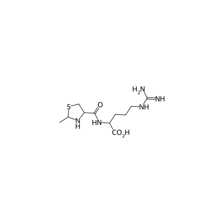 CC1NC(C(=O)NC(CCCNC(=N)N)C(=O)O)CS1